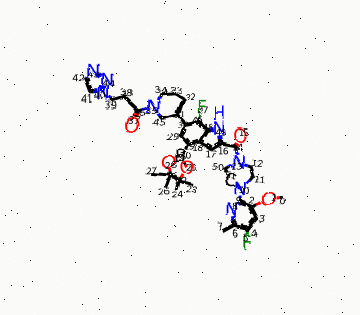 COc1cc(F)c(C)nc1N1CCN(C(=O)c2cc3c(B4OC(C)(C)C(C)(C)O4)cc(C4=CCCN(C(=O)CCn5ccnn5)C4)c(F)c3[nH]2)CC1